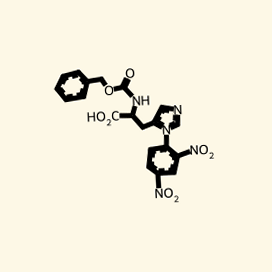 O=C(NC(Cc1cncn1-c1ccc([N+](=O)[O-])cc1[N+](=O)[O-])C(=O)O)OCc1ccccc1